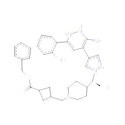 C[C@@H](C1CCN(CC2CC(C(=O)OCc3ccccc3)C2)CC1)n1cc(C2=C(N)NNC(c3ccccc3O)=C2)cn1